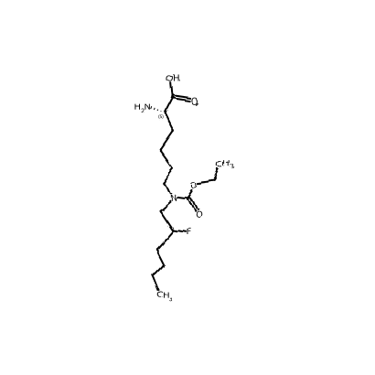 CCCCC(F)CN(CCCC[C@H](N)C(=O)O)C(=O)OCC